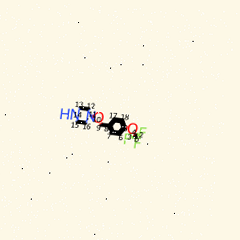 FC(F)(F)Oc1ccc(CON2CCNCC2)cc1